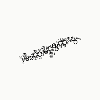 C=CC(=O)OCOc1ccc2cc(C(=O)Oc3ccc(OC(=O)c4ccc5cc(OCOC(=O)C(=C)C)ccc5c4)c(C(C)(C)C)c3)ccc2c1